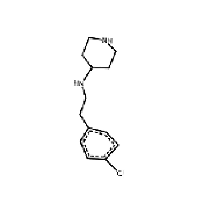 Clc1ccc(CCNC2CCNCC2)cc1